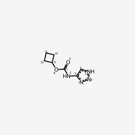 O=C(Nc1c[nH]nn1)OC1CCC1